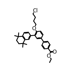 CCOC(=O)c1ccc(-c2ccc(OCCCCCl)c(-c3ccc4c(c3)C(C)(C)CCC4(C)C)c2)cc1